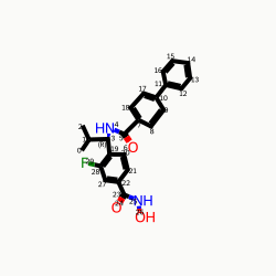 CC(C)[C@@H](NC(=O)c1ccc(-c2ccccc2)cc1)c1ccc(C(=O)NO)cc1F